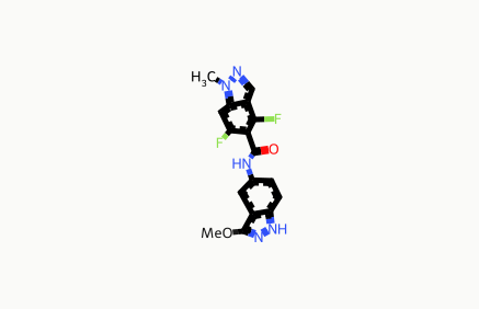 COc1n[nH]c2ccc(NC(=O)c3c(F)cc4c(cnn4C)c3F)cc12